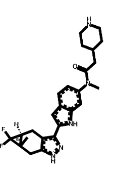 CN(C(=O)CC1CCNCC1)c1ccc2cc(-c3n[nH]c4c3C[C@@H]3C(F)(F)C3(C)C4)[nH]c2c1